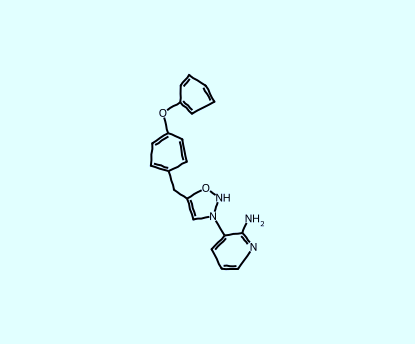 Nc1ncccc1N1C=C(Cc2ccc(Oc3ccccc3)cc2)ON1